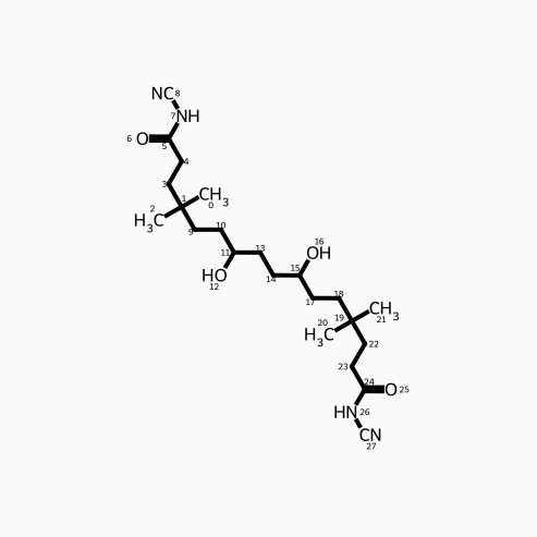 CC(C)(CCC(=O)NC#N)CCC(O)CCC(O)CCC(C)(C)CCC(=O)NC#N